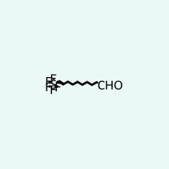 O=CCCCCCCC/C=C/S(F)(F)(F)(F)F